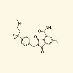 CN(C)CCC1(c2ccc(CN3C(=O)c4cc(Cl)cc(C(N)=O)c4C3=O)cc2)CC1